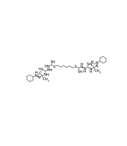 CC(C)(N=NC1CCCCC1)NC(S)NNC(S)SCCCCCCSC(S)NNC(S)NC(C)(C)N=NC1CCCCC1